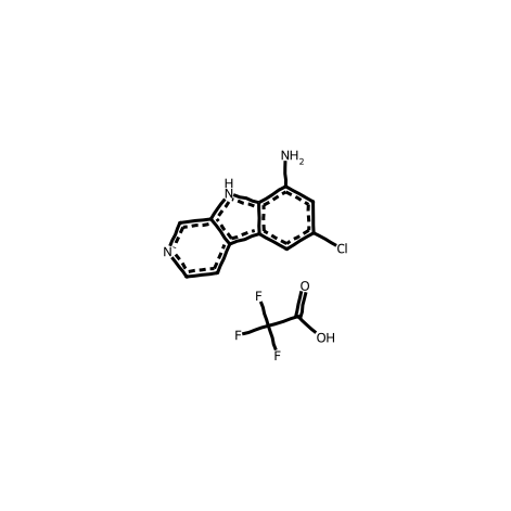 Nc1cc(Cl)cc2c1[nH]c1cnccc12.O=C(O)C(F)(F)F